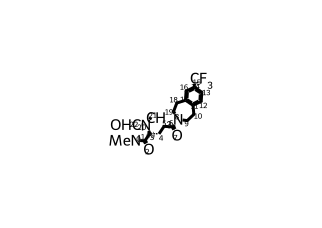 CNC(=O)[C@@H](CCC(=O)N1CCc2ccc(C(F)(F)F)cc2CC1)N(C)C=O